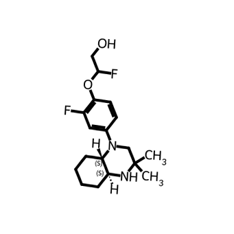 CC1(C)CN(c2ccc(OC(F)CO)c(F)c2)[C@H]2CCCC[C@@H]2N1